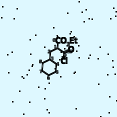 CCOC(=O)C(CC1CCCCC1)C(=O)Cl